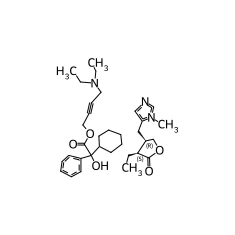 CCN(CC)CC#CCOC(=O)C(O)(c1ccccc1)C1CCCCC1.CC[C@@H]1C(=O)OC[C@@H]1Cc1cncn1C